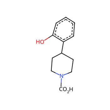 O=C(O)N1CCC(c2ccccc2O)CC1